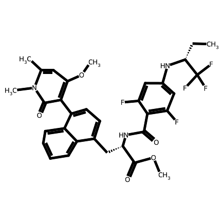 CC[C@@H](Nc1cc(F)c(C(=O)N[C@@H](Cc2ccc(-c3c(OC)cc(C)n(C)c3=O)c3ccccc23)C(=O)OC)c(F)c1)C(F)(F)F